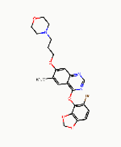 COc1cc2c(Oc3c(Br)ccc4c3OCO4)ncnc2cc1OCCCN1CCOCC1